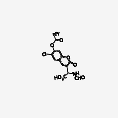 CCCC(=O)Oc1cc2oc(=O)c(C(NC=O)C(=O)O)cc2cc1Cl